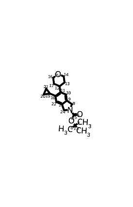 CC(C)(C)OC(=O)N1Cc2cc(C3CCOCC3)c(C3CC3)cc2C1